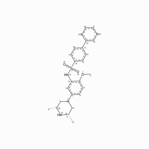 COc1ccc(N2C[C@@H](C)N[C@@H](C)C2)cc1NS(=O)(=O)c1ccc(-c2cnccn2)cc1